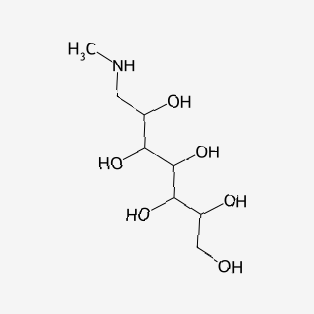 CNCC(O)C(O)C(O)C(O)C(O)CO